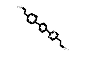 C=CCc1ccc(-c2ccc(-c3ncc(CC=C)cn3)cc2)cc1